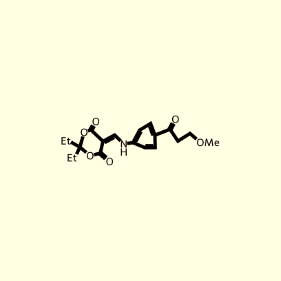 CCC1(CC)OC(=O)C(=CNc2ccc(C(=O)CCOC)cc2)C(=O)O1